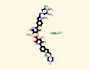 CCc1c(-c2ccc3c(c2)cc(CN2CCNCC2)n3C)[nH]c(=O)c(C(=O)Oc2c(CC)c(-c3ccc4c(c3)cc(CN3C[C@@H](C)N(C)[C@@H](C)C3)n4C)[nH]c(=O)c2C(=O)O)c1O.Cl.Cl.Cl.Cl